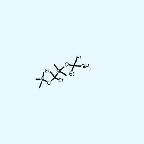 CCC([SiH3])(CC)O[Si](C)(C)C(CC)(CC)O[Si](C)(C)C